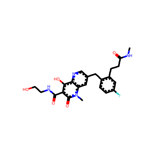 CNC(=O)CCc1cc(F)ccc1Cc1cnc2c(O)c(C(=O)NCCO)c(=O)n(C)c2c1